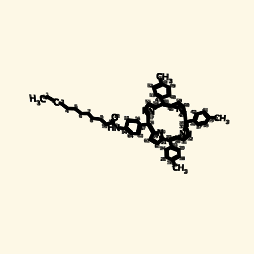 CCCCCCCCCCCC(=O)Nc1ccc(-c2c3nc(c(-c4ccc(C)cc4)c4ccc([nH]4)c(-c4ccc(C)cc4)c4nc(c(-c5ccc(C)cc5)c5ccc2[nH]5)C=C4)C=C3)cc1